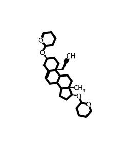 C#CC[C@]12CC[C@H](OC3CCCCO3)CC1=CCC1C2CC[C@@]2(C)C1CC[C@@H]2OC1CCCCO1